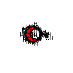 O=C(Nc1ccc(O)cc1)Nc1cc2cc(c1)NCc1nc(cs1)C(=O)NC[C@H]1O[C@@H]3O[C@H]4C(O)C(O)[C@H](O[C@@H]4CO)O[C@H]4C(O)C(O)[C@H](O[C@@H]4CO)O[C@H]4C(O)C(O)[C@H](O[C@@H]4CO)O[C@H]4C(O)C(O)[C@H](O[C@@H]4CNC(=O)c4csc(n4)CN2)O[C@H]2C(O)C(O)[C@H](O[C@@H]2CO)O[C@H]2C(O)C(O)[C@H](O[C@@H]2CO)O[C@H]1C(O)C3O